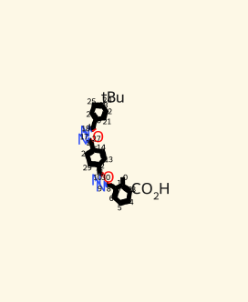 Cc1c(C(=O)O)cccc1-c1nnc(-c2ccc(-c3nnc(-c4ccc(C(C)(C)C)cc4)o3)cc2)o1